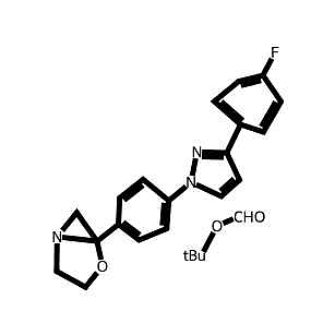 CC(C)(C)OC=O.Fc1ccc(-c2ccn(-c3ccc(C45CN4CCO5)cc3)n2)cc1